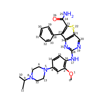 COc1cc(N2CCN(C(C)C)CC2)ccc1Nc1ncc2sc(C(N)=O)c(-c3ccccc3)c2n1